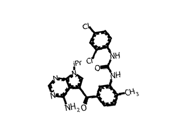 Cc1ccc(C(=O)c2cn(C(C)C)c3ncnc(N)c23)cc1NC(=O)Nc1ccc(Cl)cc1Cl